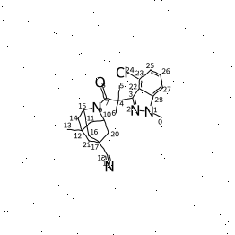 Cn1nc(C(C)(C)C(=O)N2C3CC4(C)CC2CC(C#N)(C3)C4)c2c(Cl)cccc21